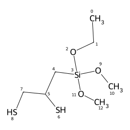 CCO[Si](CC(S)CS)(OC)OC